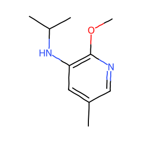 COc1ncc(C)cc1NC(C)C